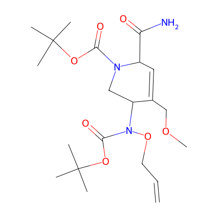 C=CCON(C(=O)OC(C)(C)C)C1CN(C(=O)OC(C)(C)C)C(C(N)=O)C=C1COC